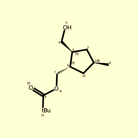 C[C@@H]1C[C@H](CO)[C@@H](COC(=O)C(C)(C)C)C1